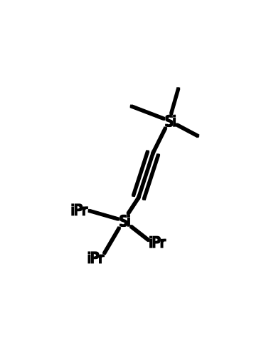 CC(C)[Si](C#C[Si](C)(C)C)(C(C)C)C(C)C